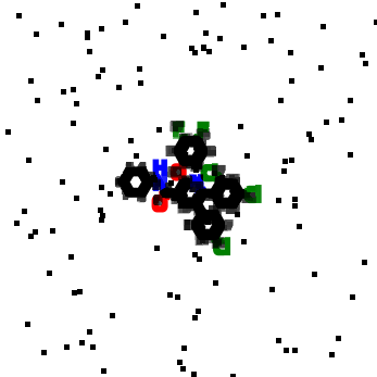 O=C(NC1CCCCC1)c1cc(-c2ccc(Cl)cc2)c(-c2ccc(Cl)cc2Cl)nc1Oc1ccc(F)c(F)c1